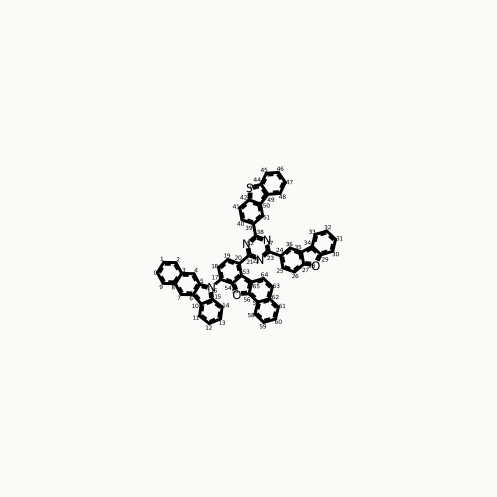 c1ccc2cc3c(cc2c1)c1ccccc1n3-c1ccc(-c2nc(-c3ccc4oc5ccccc5c4c3)nc(-c3ccc4sc5ccccc5c4c3)n2)c2c1oc1c3ccccc3ccc12